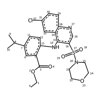 CCOC(=O)c1cc(C(C)C)ccc1Nc1c(S(=O)(=O)N2CCOCC2)cnc2ccc(Cl)cc12